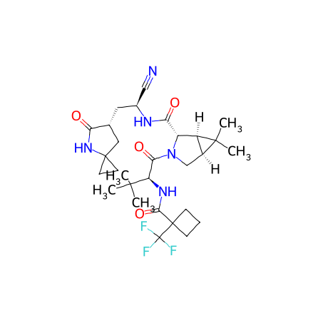 CC(C)(C)[C@H](NC(=O)C1(C(F)(F)F)CCC1)C(=O)N1C[C@H]2[C@@H]([C@H]1C(=O)N[C@H](C#N)C[C@@H]1CC3(CC3)NC1=O)C2(C)C